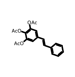 CC(=O)Oc1cc(C=Cc2ccccc2)cc(OC(C)=O)c1OC(C)=O